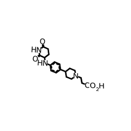 O=C(O)CCN1CCC(c2ccc(NC3CCC(=O)NC3=O)cc2)CC1